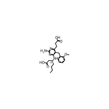 CCCC[C@@H](CC(=O)O)Nc1nc(N)nc(CCC(=O)O)c1Cc1ccccc1OC